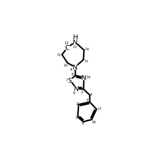 c1ccc(Cc2nsc(N3CCCNCC3)n2)cc1